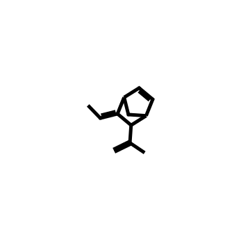 C=C(C)C1/C(=C/C)C2C=CC1C2